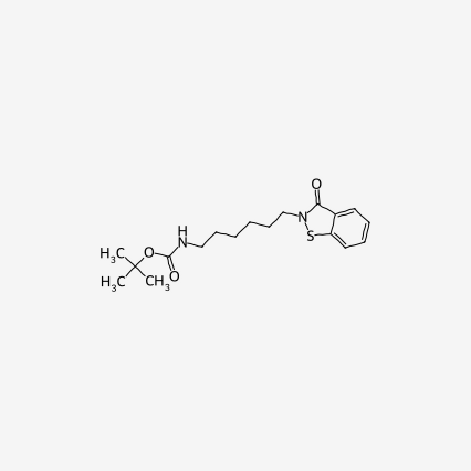 CC(C)(C)OC(=O)NCCCCCCn1sc2ccccc2c1=O